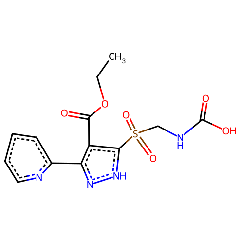 CCOC(=O)c1c(-c2ccccn2)n[nH]c1S(=O)(=O)CNC(=O)O